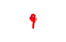 CCCCC/C=C\C/C=C\C/C=C\CCCCC(=O)O[C@H](COC(=O)CCCCCCCCCCCCCCC)COP(=O)(O)OCC[N+](C)(C)C